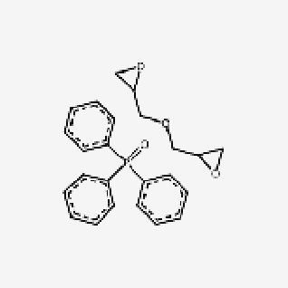 C(OCC1CO1)C1CO1.O=P(c1ccccc1)(c1ccccc1)c1ccccc1